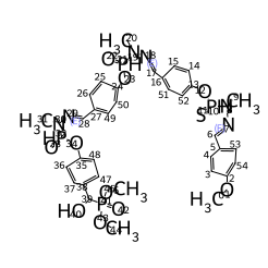 COc1ccc(/C=N/N(C)[PH](=S)Oc2ccc(/C=N/N(C)[PH](=O)Oc3ccc(/C=N/N(C)[PH](=O)Oc4ccc(C(O)P(=O)(OC)OC)cc4)cc3)cc2)cc1